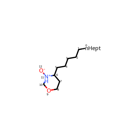 CCCCCCCCCCCCC1CCOC[NH+]1[O-]